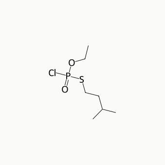 CCOP(=O)(Cl)SCCC(C)C